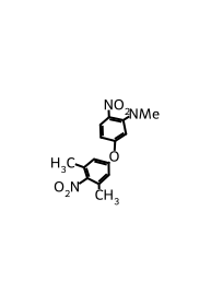 CNc1cc(Oc2cc(C)c([N+](=O)[O-])c(C)c2)ccc1[N+](=O)[O-]